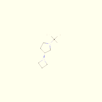 CC(C)(C)N1CC[C@H](N2CCC2)C1